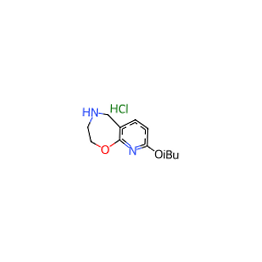 CC(C)COc1ccc2c(n1)OCCNC2.Cl